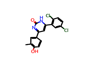 Cc1cc(-c2cc(-c3cc(Cl)ccc3Cl)[nH]c(=O)n2)ccc1O